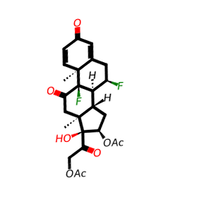 CC(=O)OCC(=O)[C@@]1(O)[C@H](OC(C)=O)C[C@H]2[C@@H]3[C@H](F)CC4=CC(=O)C=C[C@]4(C)[C@@]3(F)C(=O)C[C@@]21C